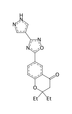 CCC1(CC)CC(=O)c2cc(-c3nc(-c4cn[nH]c4)no3)ccc2O1